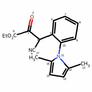 CCOC(=O)C(=O)C(C#N)c1ccccc1-n1c(C)ccc1C